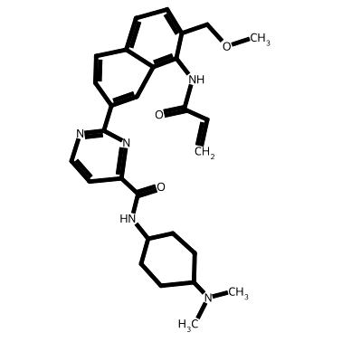 C=CC(=O)Nc1c(COC)ccc2ccc(-c3nccc(C(=O)NC4CCC(N(C)C)CC4)n3)cc12